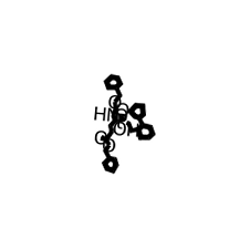 O=C(CCC(NC(=O)OCc1ccccc1)P(=O)(O)CCc1ccccc1-c1ccccc1)OCc1ccccc1